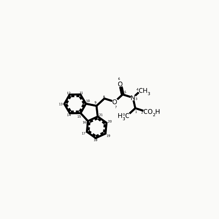 CC(C(=O)O)N(C)C(=O)OCC1c2ccccc2-c2ccccc21